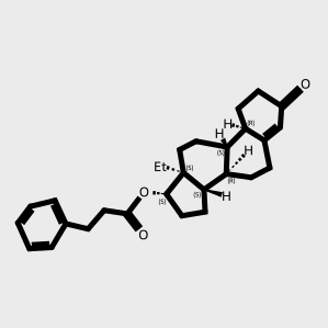 CC[C@]12CC[C@H]3[C@@H](CCC4=CC(=O)CC[C@@H]43)[C@@H]1CC[C@@H]2OC(=O)CCc1ccccc1